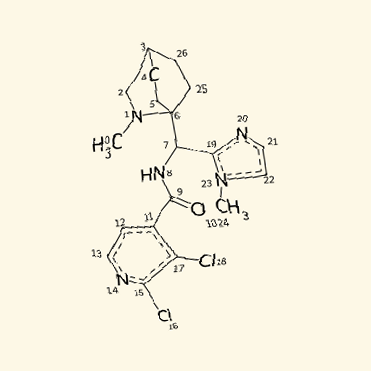 CN1CC2CCC1(C(NC(=O)c1ccnc(Cl)c1Cl)c1nccn1C)CC2